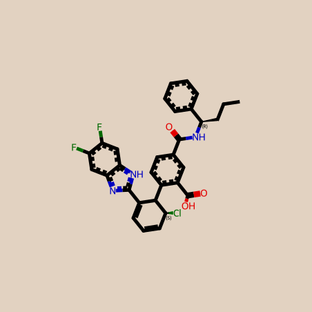 CCC[C@@H](NC(=O)c1ccc(C2C(c3nc4cc(F)c(F)cc4[nH]3)=CC=C[C@@H]2Cl)c(C(=O)O)c1)c1ccccc1